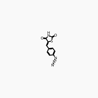 [N-]=[N+]=Nc1ccc(/C=C2\SC(=O)NC2=O)cc1